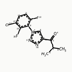 CC(C)C(=O)c1cn(-c2c(F)ccc(Cl)c2F)nn1